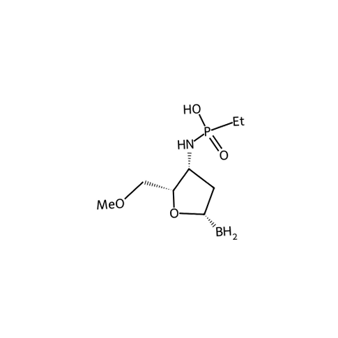 B[C@H]1C[C@@H](NP(=O)(O)CC)[C@@H](COC)O1